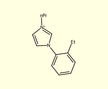 CCC[n+]1ccn(-c2ccccc2CC)c1